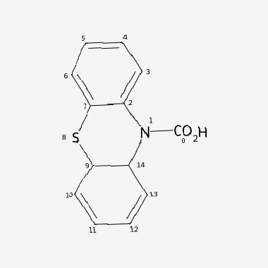 O=C(O)N1c2ccccc2SC2C=CC=CC21